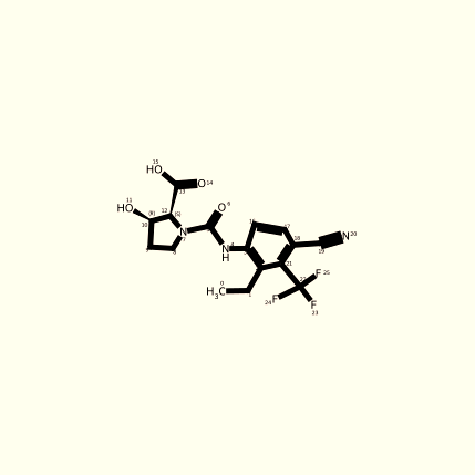 CCc1c(NC(=O)N2CC[C@@H](O)[C@H]2C(=O)O)ccc(C#N)c1C(F)(F)F